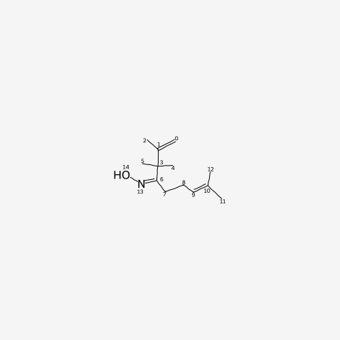 C=C(C)C(C)(C)/C(CCC=C(C)C)=N\O